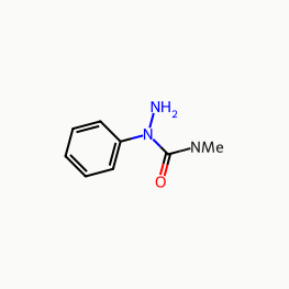 CNC(=O)N(N)c1ccccc1